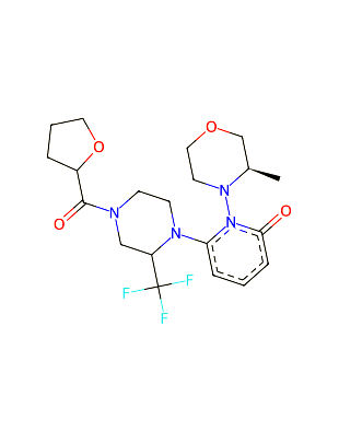 C[C@@H]1COCCN1n1c(N2CCN(C(=O)C3CCCO3)CC2C(F)(F)F)cccc1=O